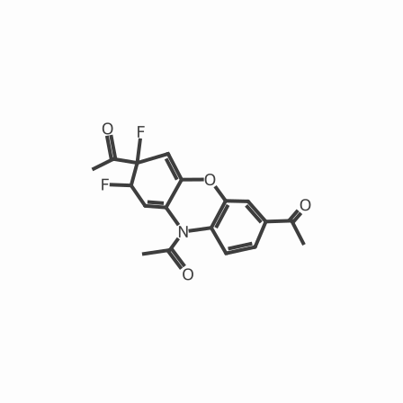 CC(=O)c1ccc2c(c1)OC1=CC(F)(C(C)=O)C(F)C=C1N2C(C)=O